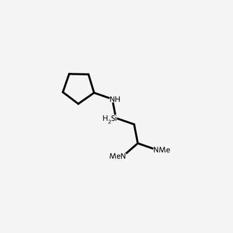 CNC(C[SiH2]NC1CCCC1)NC